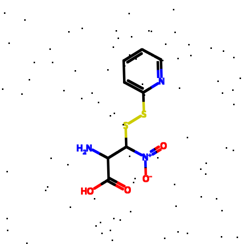 NC(C(=O)O)C(SSc1ccccn1)[N+](=O)[O-]